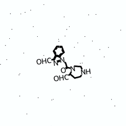 O=Cc1nn(CC(=O)N2CCNCCC2C=O)c2ccccc12